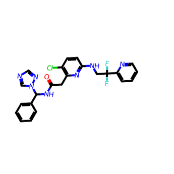 O=C(Cc1nc(NCC(F)(F)c2ccccn2)ccc1Cl)NC(c1ccccc1)n1cncn1